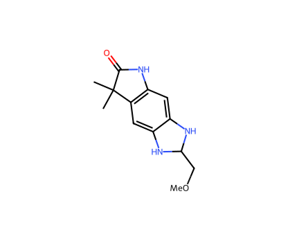 COCC1Nc2cc3c(cc2N1)C(C)(C)C(=O)N3